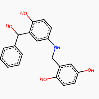 Oc1ccc(O)c(CNc2ccc(O)c(C(O)c3ccccc3)c2)c1